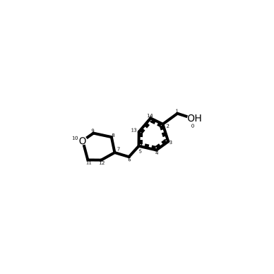 OCc1ccc(CC2CCOCC2)cc1